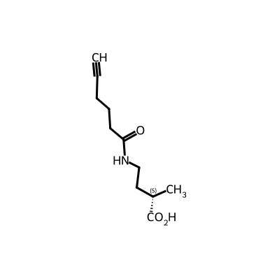 C#CCCCC(=O)NCC[C@H](C)C(=O)O